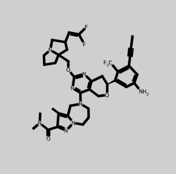 CC#Cc1cc(N)cc([C@@H]2Cc3nc(OCC45CCCN4CC(C=C(F)F)C5)nc(N4CCCn5nc(C(=O)N(C)C)c(C)c5C4)c3CO2)c1C(F)(F)F